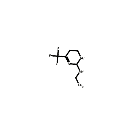 CCNC1N=C(C(F)(F)F)CCN1